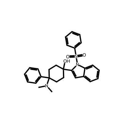 CN(C)C1(c2ccccc2)CCC(O)(c2cc3ccccc3n2S(=O)(=O)c2ccccc2)CC1